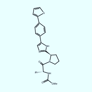 COC(=O)N[C@@H](C(=O)N1CCC[C@@H]1c1ncc(-c2ccc(-c3cccs3)cc2)[nH]1)C(C)C